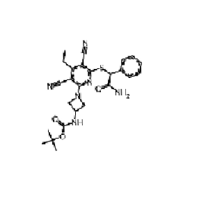 CCc1c(C#N)c(SC(C(N)=O)c2ccccc2)nc(N2CC(NC(=O)OC(C)(C)C)C2)c1C#N